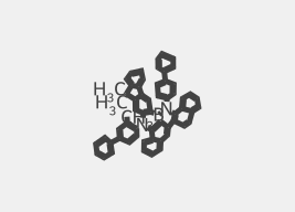 Cc1cc(-c2ccccc2)ccc1N1c2cc3c(cc2B2c4c(cc5ccccc5c41)-c1ccc4ccccc4c1N2c1ccc(-c2ccccc2)cc1)-c1ccccc1C3(C)C